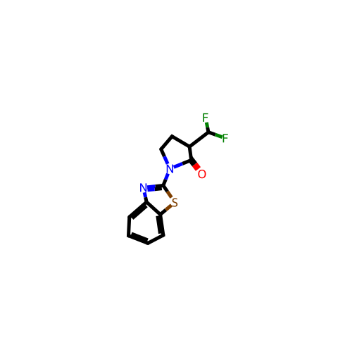 O=C1C(C(F)F)CCN1c1nc2ccccc2s1